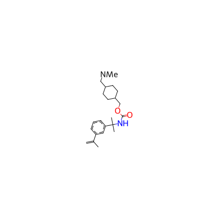 C=C(C)c1cccc(C(C)(C)NC(=O)OCC2CCC(CNC)CC2)c1